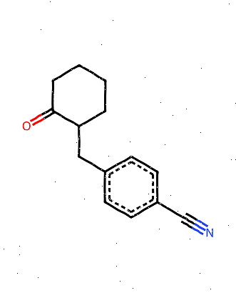 N#Cc1ccc(CC2CCCCC2=O)cc1